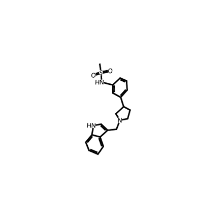 CS(=O)(=O)Nc1cccc(C2CCN(Cc3c[nH]c4ccccc34)C2)c1